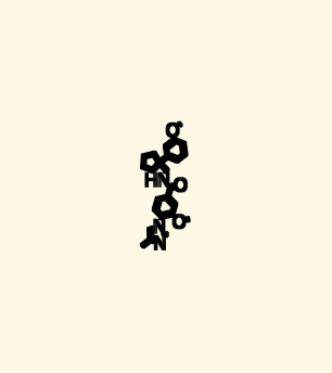 COc1cccc(C2(CNC(=O)c3ccc(-n4cnc(C)c4)c(OC)c3)CCCC2)c1